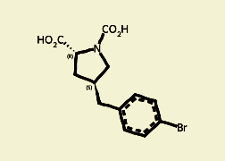 O=C(O)[C@H]1C[C@H](Cc2ccc(Br)cc2)CN1C(=O)O